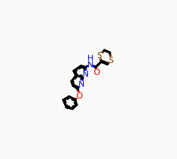 O=C(Nc1ccc2ccc(Oc3ccccc3)nc2n1)C1=CSCCS1